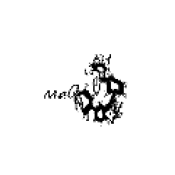 COc1ccc(-c2ccc3ncnc(-c4cccc(C(=O)N5C[C@@H]6C[C@H]5CN6C)c4)c3c2)cn1